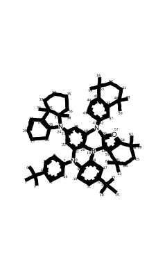 CC(C)(C)c1ccc(N2c3ccc(C(C)(C)C)cc3B3c4c2cc(N2C5=C(C=CCC5)C5(C)CCCCC25C)cc4N(c2ccc4c(c2)C(C)(C)CCC4(C)C)c2oc4c(c23)C(C)(C)CCC4(C)C)cc1